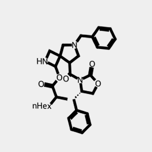 CCCCCCC(C)C(=O)OC1NCC12CN(Cc1ccccc1)CC2C(=O)N1C(=O)OC[C@@H]1Cc1ccccc1